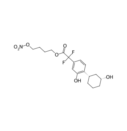 O=C(OCCCCO[N+](=O)[O-])C(F)(F)c1ccc([C@H]2CCC[C@@H](O)C2)c(O)c1